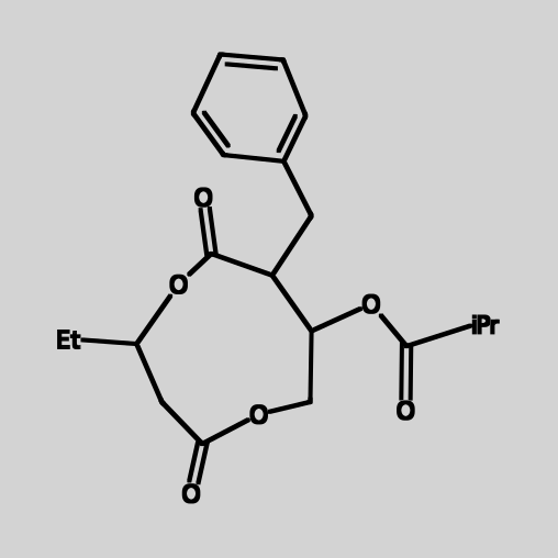 CCC1CC(=O)OCC(OC(=O)C(C)C)C(Cc2ccccc2)C(=O)O1